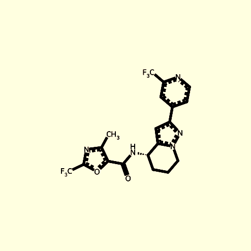 Cc1nc(C(F)(F)F)oc1C(=O)N[C@H]1CCCn2nc(-c3ccnc(C(F)(F)F)c3)cc21